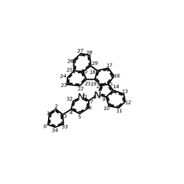 c1ccc(-c2ccc(-n3c4ccccc4c4ccc5c(c43)-c3cccc4cccc-5c34)nc2)cc1